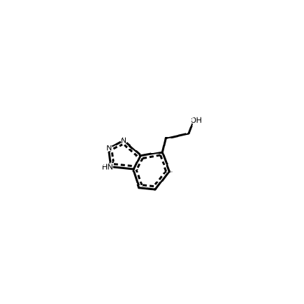 OCCc1[c]ccc2[nH]nnc12